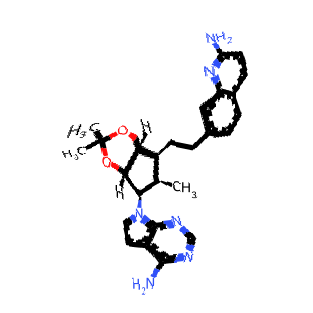 C[C@@H]1[C@H](CCc2ccc3ccc(N)nc3c2)[C@H]2OC(C)(C)O[C@H]2[C@@H]1n1ccc2c(N)ncnc21